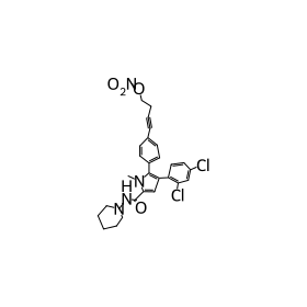 Cn1c(C(=O)NN2CCCCC2)cc(-c2ccc(Cl)cc2Cl)c1-c1ccc(C#CCCO[N+](=O)[O-])cc1